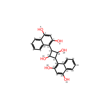 Oc1cc(O)c2ccccc2c1C1C(O)C(c2c(O)cc(O)c3ccccc23)C1O